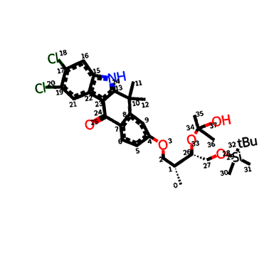 C[C@H](COc1ccc2c(c1)C(C)(C)c1[nH]c3cc(Cl)c(Cl)cc3c1C2=O)[C@@H](CO[Si](C)(C)C(C)(C)C)OC(C)(C)O